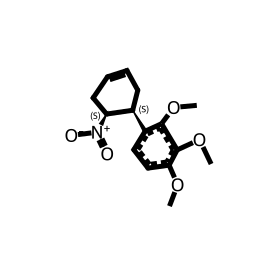 COc1ccc([C@@H]2CC=CC[C@@H]2[N+](=O)[O-])c(OC)c1OC